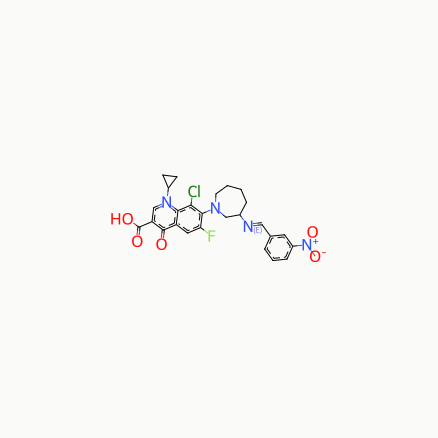 O=C(O)c1cn(C2CC2)c2c(Cl)c(N3CCCCC(/N=C/c4cccc([N+](=O)[O-])c4)C3)c(F)cc2c1=O